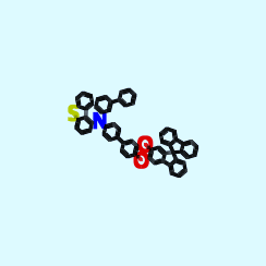 c1ccc(-c2cccc(N(c3ccc(-c4ccc5c(c4)Oc4cc6c(cc4O5)-c4ccccc4C64c5ccccc5-c5ccccc54)cc3)c3cccc4sc5ccccc5c34)c2)cc1